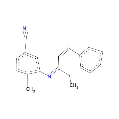 CCC(/C=C\c1ccccc1)=N/c1cc(C#N)ccc1C